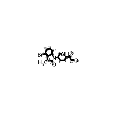 Cn1c(=O)n(C2CCC(C(=O)C=O)NC2)c2cccc(Br)c21